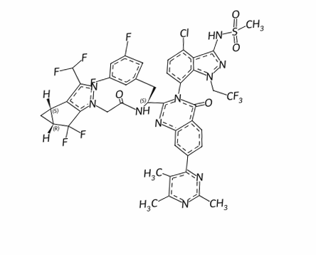 Cc1nc(C)c(C)c(-c2ccc3c(=O)n(-c4ccc(Cl)c5c(NS(C)(=O)=O)nn(CC(F)(F)F)c45)c([C@H](Cc4cc(F)cc(F)c4)NC(=O)Cn4nc(C(F)F)c5c4C(F)(F)[C@@H]4C[C@H]54)nc3c2)n1